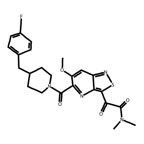 COc1cc2nsc(C(=O)C(=O)N(C)C)c2nc1C(=O)N1CCC(Cc2ccc(F)cc2)CC1